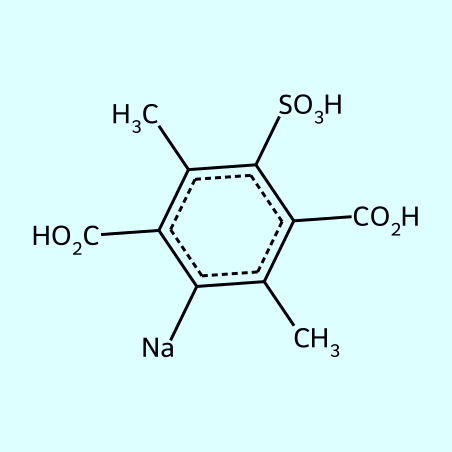 Cc1[c]([Na])c(C(=O)O)c(C)c(S(=O)(=O)O)c1C(=O)O